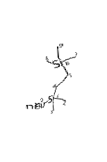 CCCC[Si](C)(C)CC[Si](C)(C)C